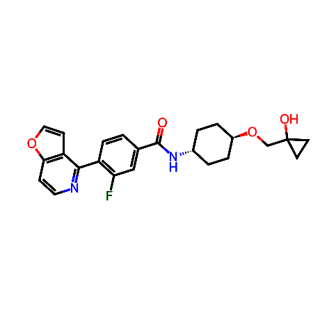 O=C(N[C@H]1CC[C@H](OCC2(O)CC2)CC1)c1ccc(-c2nccc3occc23)c(F)c1